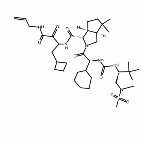 C=CCNC(=O)C(=O)C(CC1CCC1)NC(=O)[C@@H]1[C@H]2CCC(C)(C)[C@H]2CN1C(=O)[C@@H](NC(=O)N[C@H](CN(C)S(C)(=O)=O)C(C)(C)C)C1CCCCC1